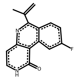 C=C(C)c1nc2cc[nH]c(=O)c2c2cc(F)ccc12